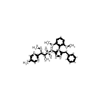 COc1cccc(OC)c1-n1c(Cc2ccccc2)nnc1NS(=O)(=O)[C@@H](C)[C@H](OC)c1ncc(C)cn1